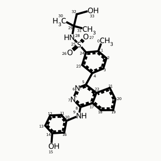 Cc1ccc(-c2nnc(Nc3cccc(O)c3)c3ccccc23)cc1S(=O)(=O)NC(C)(C)CO